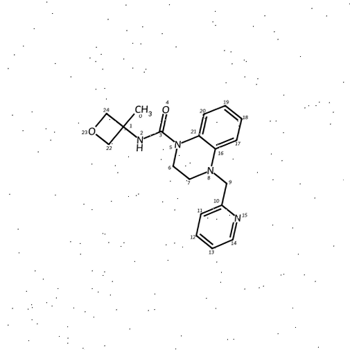 CC1(NC(=O)N2CCN(Cc3ccccn3)c3ccccc32)COC1